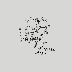 COc1ccc(-c2nc3ccccc3n2C(C(N)=O)(C2CCCCC2)C2CCCCC2)cc1OC